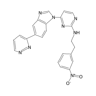 O=[N+]([O-])c1cccc(CCNc2nccc(-n3cnc4cc(-c5cccnn5)ccc43)n2)c1